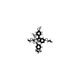 CCCOc1ccc2c(c1)c(-c1ccc(OC)cc1OC)c(OC(=O)OCC)n2Cc1ccc2nsnc2c1